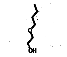 C[CH]CCOCCO